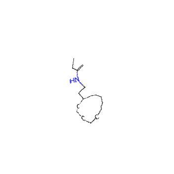 C=C(CC)NCCC1CCCCCCCCCC1